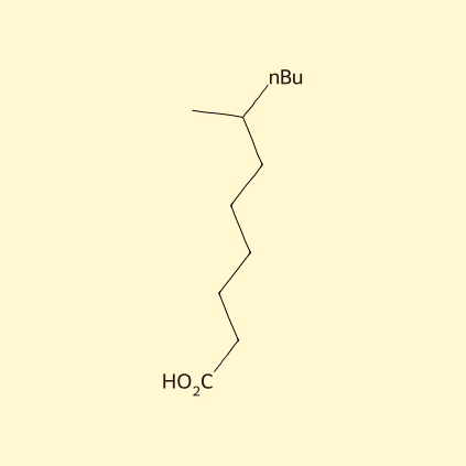 CCCCC(C)CCCCCC(=O)O